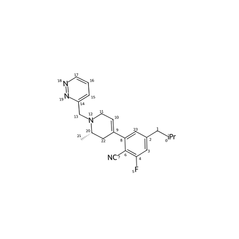 CC(C)Cc1cc(F)c(C#N)c(C2=CCN(Cc3cccnn3)[C@@H](C)C2)c1